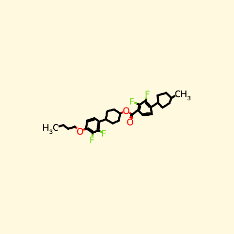 CCCCOc1ccc(C2CCC(OC(=O)c3ccc(C4CCC(C)CC4)c(F)c3F)CC2)c(F)c1F